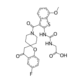 COc1cccc2c(C(=O)N3CCC4(CC3)CC(=O)c3cc(F)ccc3O4)c(NC(=O)NCC(=O)O)sc12